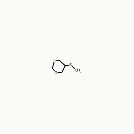 CSC1COCOC1